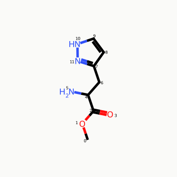 COC(=O)C(N)Cc1cc[nH]n1